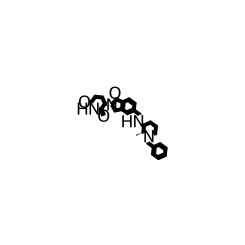 C[C@@H]1[C@H](NCc2ccc3c(c2)CN(C2CCC(=O)NC2=O)C3=O)CCCN1Cc1ccccc1